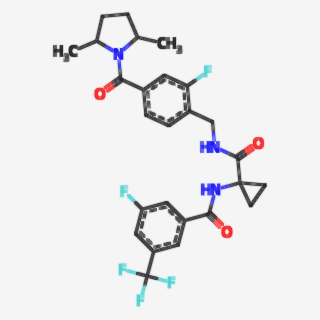 CC1CCC(C)N1C(=O)c1ccc(CNC(=O)C2(NC(=O)c3cc(F)cc(C(F)(F)F)c3)CC2)c(F)c1